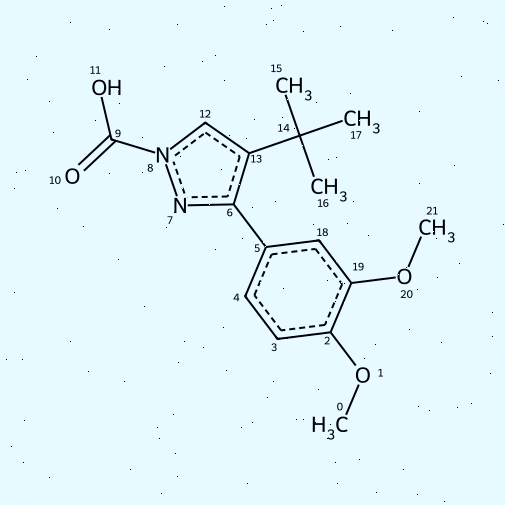 COc1ccc(-c2nn(C(=O)O)cc2C(C)(C)C)cc1OC